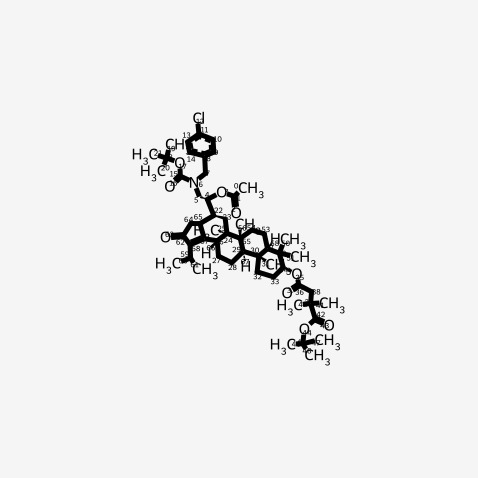 CC(=O)O[C@@H](CN(Cc1ccc(Cl)cc1)C(=O)OC(C)(C)C)[C@H]1C[C@]2(C)[C@H](CC[C@@H]3[C@@]4(C)CC[C@H](OC(=O)CC(C)(C)C(=O)OC(C)(C)C)C(C)(C)[C@@H]4CC[C@]32C)C2=C(C(C)C)C(=O)CC21